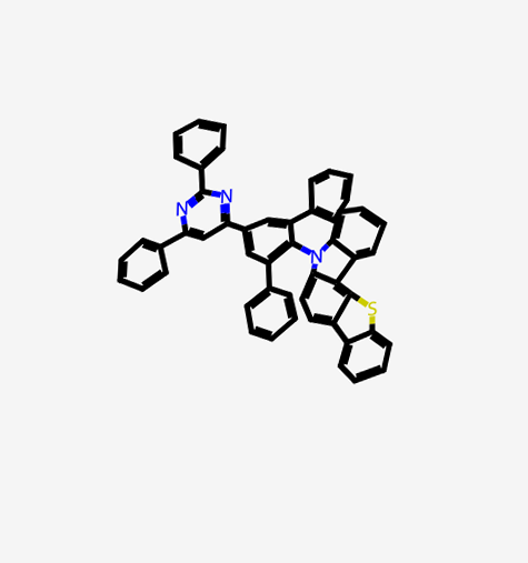 c1ccc(-c2cc(-c3cc(-c4ccccc4)c(-n4c5ccccc5c5c6sc7ccccc7c6ccc54)c(-c4ccccc4)c3)nc(-c3ccccc3)n2)cc1